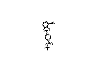 CC(C)(C)OC(=O)N1CCN(c2nc3c(C#N)cccc3s2)CC1